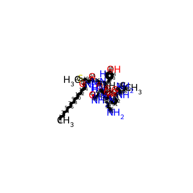 CCCCCCCCCCCCCCCC(=O)N[C@@H](CCSC)C(=O)NCC(=O)N[C@@H](Cc1ccc(O)cc1)C(=O)N[C@@H](CCC(N)=O)C(=O)N[C@@H](CCCCN)C(=O)N1CCC[C@H]1C(=O)N[C@@H](CC(C)C)C(N)=O